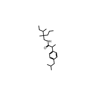 CCCC(C)(CNC(=O)C(C)c1ccc(CC(C)C)cc1)C(C)CC